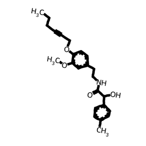 CCCC#CCOc1ccc(CCNC(=O)C(O)c2ccc(C)cc2)cc1OC